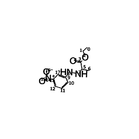 CCOC(=O)C(C)NNc1cccc([N+](=O)[O-])c1